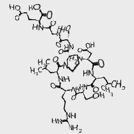 CC(C)C[C@H](NC(=O)[C@@H](N)CC(=O)O)C(=O)N[C@@H](CO)C(=O)N[C@@H](CCCNC(=N)N)C(=O)N[C@@H](CC(C)C)C(=O)N1CCC[C@H]1C(=O)N[C@@H](CO)C(=O)NCC(=O)N[C@@H](CCC(=O)O)C(=O)O